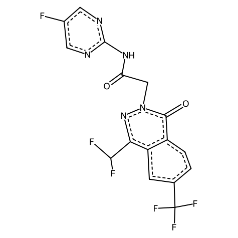 O=C(Cn1nc(C(F)F)c2cc(C(F)(F)F)ccc2c1=O)Nc1ncc(F)cn1